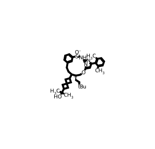 Cc1cccc(C)c1-c1cc2nc(n1)N[S+]([O-])c1cccc(c1)CCC(C1CC3(C1)CC(C(C)(C)O)C3)[C@H](CCC(C)(C)C)CO2